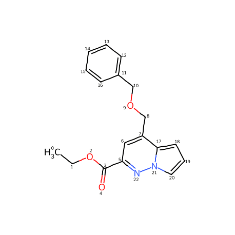 CCOC(=O)c1cc(COCc2ccccc2)c2cccn2n1